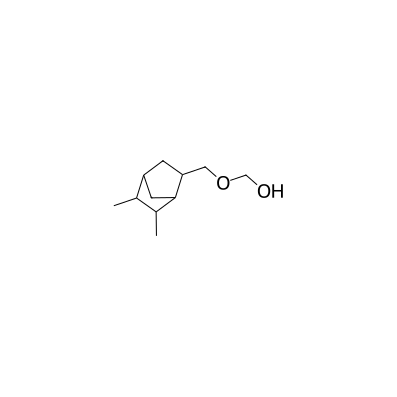 CC1C2CC(COCO)C(C2)C1C